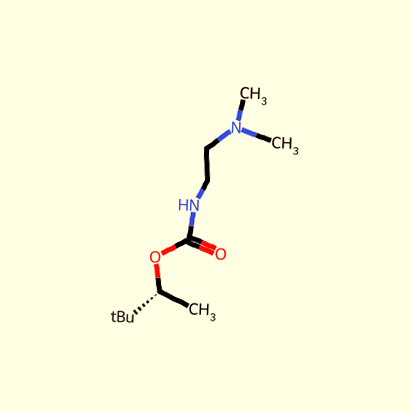 C[C@@H](OC(=O)NCCN(C)C)C(C)(C)C